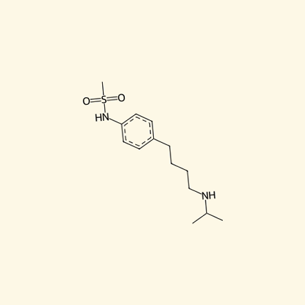 CC(C)NCCCCc1ccc(NS(C)(=O)=O)cc1